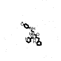 COc1ccc(NCCNC(=O)C(Cc2ccccc2)NC(=O)c2cccnc2)cc1